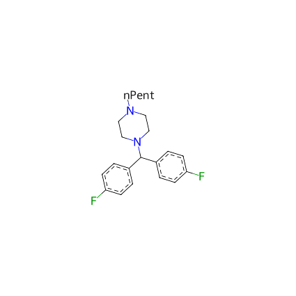 CCCCCN1CCN(C(c2ccc(F)cc2)c2ccc(F)cc2)CC1